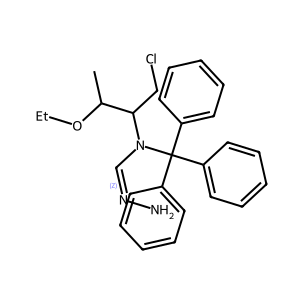 CCOC(C)C(CCl)N(/C=N\N)C(c1ccccc1)(c1ccccc1)c1ccccc1